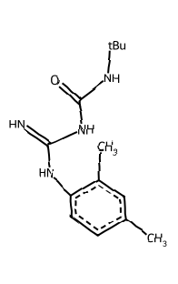 Cc1ccc(NC(=N)NC(=O)NC(C)(C)C)c(C)c1